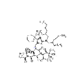 CCCCC(CC)CN(CC(CC)CCCC)c1nc(C2(C)CCCCC2)c(/C=C2\C(=O)N(N(C(C)=O)C(=O)C(C)(C)C)C(=O)C(C(=O)N(C(C)=O)C(C)(C)C)=C2C)s1